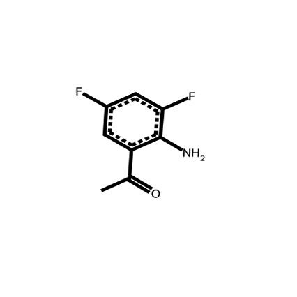 CC(=O)c1cc(F)cc(F)c1N